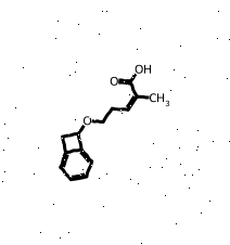 CC(=CCCOC1Cc2ccccc21)C(=O)O